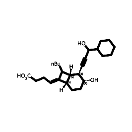 CCCCC1C(=CCCC(=O)O)[C@H]2CC[C@@H](O)[C@H](C#CC(O)C3CCCCC3)[C@@H]12